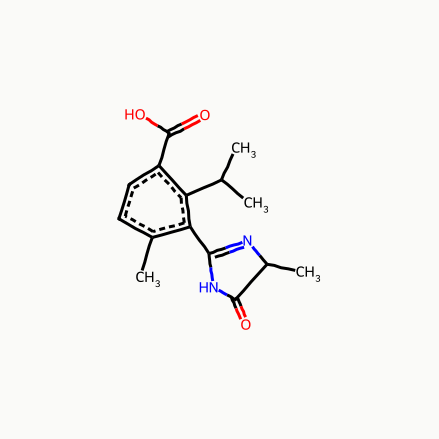 Cc1ccc(C(=O)O)c(C(C)C)c1C1=NC(C)C(=O)N1